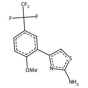 COc1ccc(C(F)(F)C(F)(F)F)cc1-c1csc(N)n1